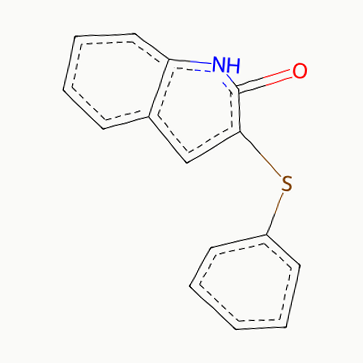 O=c1[nH]c2ccccc2cc1Sc1ccccc1